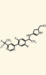 CCC1CC(NC(C)c2cc(F)c(-c3cc(C(C)(C)F)ncn3)cc2F)=CN1